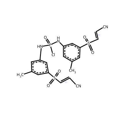 Cc1cc(NP(=O)(Cl)Nc2cc(C)cc(S(=O)(=O)/C=C/C#N)c2)cc(S(=O)(=O)/C=C/C#N)c1